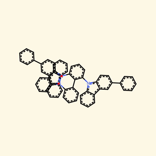 c1ccc(-c2ccc3c(c2)c2ccccc2n3-c2cccc(-n3c4ccccc4c4cc(-c5ccccc5)ccc43)c2-c2ccccc2-n2c3ccccc3c3ccccc32)cc1